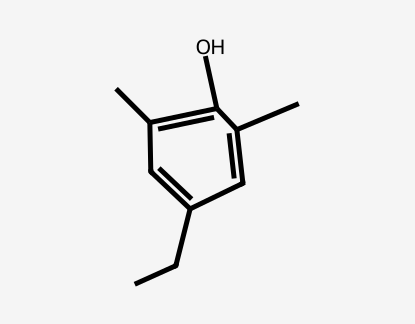 CCc1cc(C)c(O)c(C)c1